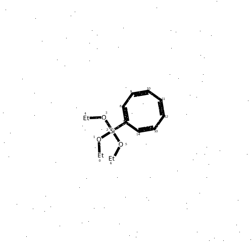 CCO[Si](OCC)(OCC)C1=CC=CC=CC=C1